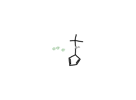 C[C](C)(C)[Zr+3][CH]1C=CC=C1.[Cl-].[Cl-].[Cl-]